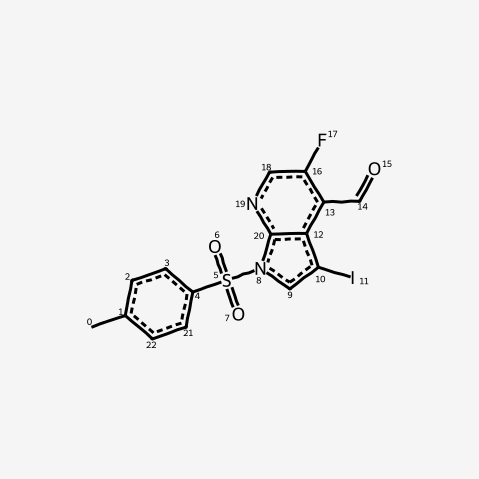 Cc1ccc(S(=O)(=O)n2cc(I)c3c(C=O)c(F)cnc32)cc1